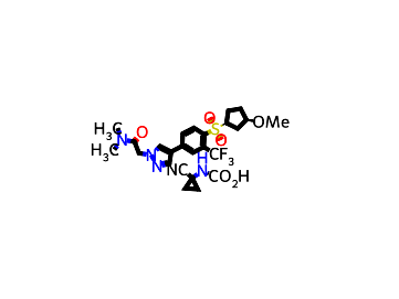 CO[C@@H]1CC[C@@H](S(=O)(=O)c2ccc(-c3cnn(CC(=O)N(C)C)c3)cc2C(F)(F)F)C1.N#CC1(NC(=O)O)CC1